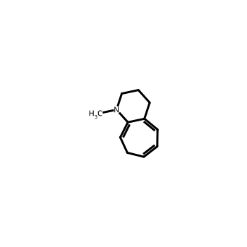 CN1CCCC2=CC=CCC=C21